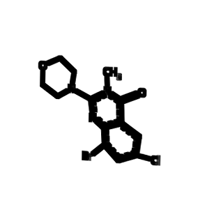 Cn1c(N2CCOCC2)nc2c(Br)cc(Cl)cc2c1=O